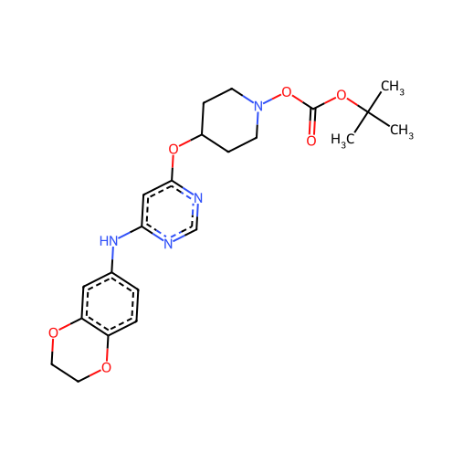 CC(C)(C)OC(=O)ON1CCC(Oc2cc(Nc3ccc4c(c3)OCCO4)ncn2)CC1